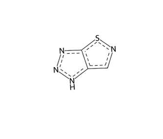 c1nsc2nn[nH]c12